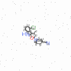 CC(CC(=O)N1C2CC3CC(C#N)(C2)CC31)c1c[nH]c2cccc(Cl)c12